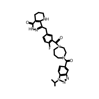 CC(C)n1nnc2cc(C(=O)N3CCCN(C(=O)c4cc(Cc5n[nH]c(=O)c6c5NCCC6)ccc4F)CC3)ccc21